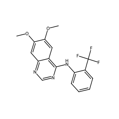 COc1cc2ncnc(Nc3ccccc3C(F)(F)F)c2cc1OC